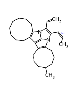 C=Cc1c(/C=C\C)n2c3c(c4c5c(n1c42)CCCCCCCC5)CCCC(C)CCC3